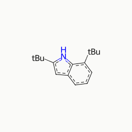 CC(C)(C)c1cc2cccc(C(C)(C)C)c2[nH]1